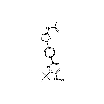 CC(=O)NC1=CCC(c2ccc(C(=O)N[C@H](C(=O)NO)C(C)(C)N)cc2)S1